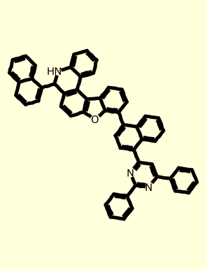 c1ccc(-c2cc(-c3ccc(-c4cccc5c4oc4ccc6c(c45)-c4ccccc4NC6c4cccc5ccccc45)c4ccccc34)nc(-c3ccccc3)n2)cc1